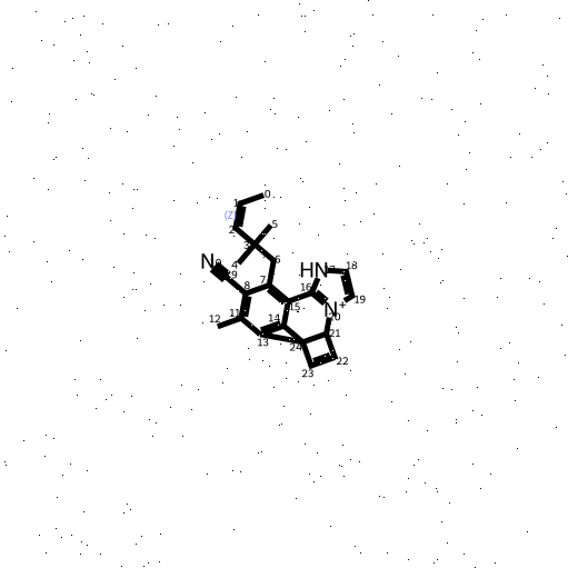 C/C=C\C(C)(C)Cc1c(C#N)c(C)c2c3c1-c1[nH]cc[n+]1C1C=CC231